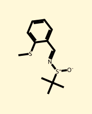 CSc1ccccc1/C=N/[S+]([O-])C(C)(C)C